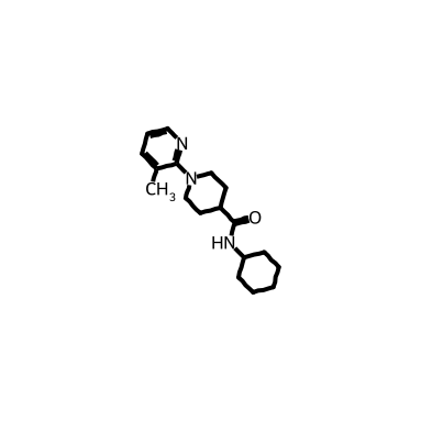 Cc1cccnc1N1CCC(C(=O)NC2CCCCC2)CC1